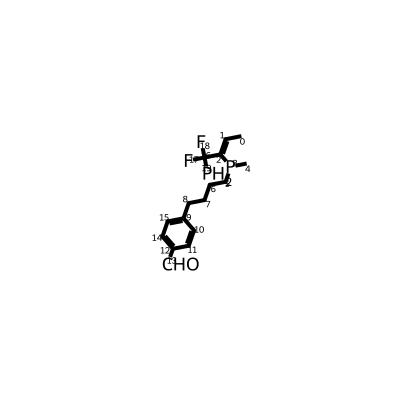 C/C=C(\P(C)CCCCc1ccc(C=O)cc1)C(F)(F)P